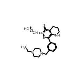 CCN1CCN(Cc2cccc(-c3n[nH]c(=O)c4c3NCCC4)c2)CC1.Cl.Cl.Cl